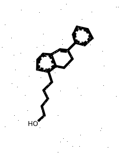 OCCCCCc1cccc2c1CCC(c1ccccc1)=C2